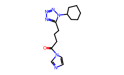 O=C(CCCc1nnnn1C1CCCCC1)n1ccnc1